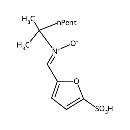 CCCCCC(C)(C)[N+]([O-])=Cc1ccc(S(=O)(=O)O)o1